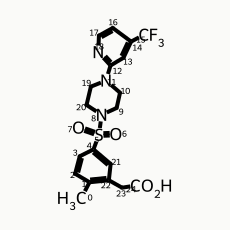 Cc1ccc(S(=O)(=O)N2CCN(c3cc(C(F)(F)F)ccn3)CC2)cc1CC(=O)O